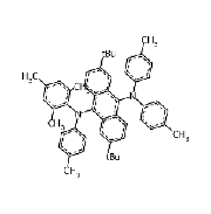 Cc1ccc(N(c2ccc(C)cc2)c2c3cc(C(C)(C)C)ccc3c(N(c3ccc(C)cc3)c3c(C)cc(C)cc3C)c3cc(C(C)(C)C)ccc23)cc1